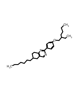 CCCCCCCC1CCc2nc(-c3ccc(OCC(CC)CCCC)cc3)ncc2C1